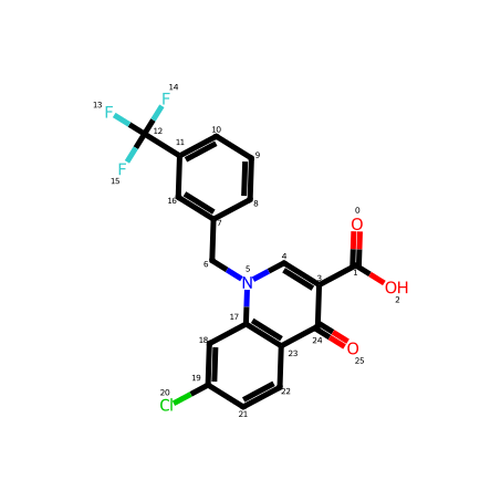 O=C(O)c1cn(Cc2cccc(C(F)(F)F)c2)c2cc(Cl)ccc2c1=O